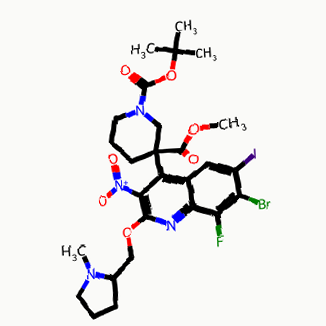 COC(=O)C1(c2c([N+](=O)[O-])c(OCC3CCCN3C)nc3c(F)c(Br)c(I)cc23)CCCN(C(=O)OC(C)(C)C)C1